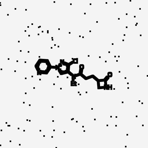 CCN(C(=O)CCC1CNC1=O)c1cn(-c2cccnc2)nc1Cl